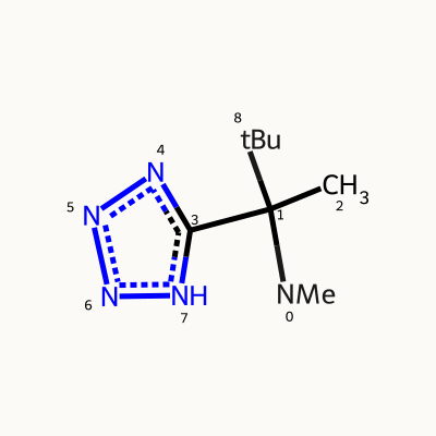 CNC(C)(c1nnn[nH]1)C(C)(C)C